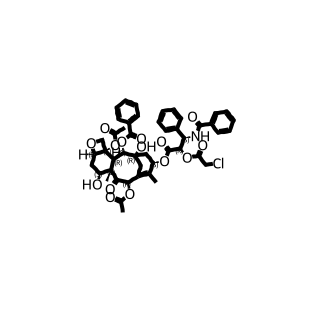 CC(=O)O[C@H]1C(=O)[C@@]2(C)[C@H]([C@H](OC(=O)c3ccccc3)[C@@]3(O)CC1=C(C)[C@@H](OC(=O)[C@H](OC(=O)CCl)[C@@H](NC(=O)c1ccccc1)c1ccccc1)C3)[C@]1(OC(C)=O)CO[C@@H]1C[C@@H]2O